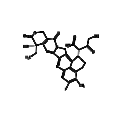 CC[C@@]1(O)C(=O)OCc2c1cc1n(c2=O)Cc2c-1nc1cc(F)c(C)c3c1c2[C@H](C(C(N)=O)C(=O)CO)CC3